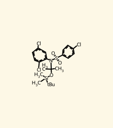 CC(C)(O[Si](C)(C)C(C)(C)C)N(c1cc(Cl)ccc1Cl)S(=O)(=O)c1ccc(Cl)cc1